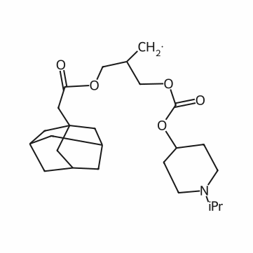 [CH2]C(COC(=O)CC12CC3CC(CC(C3)C1)C2)COC(=O)OC1CCN(C(C)C)CC1